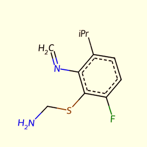 C=Nc1c(C(C)C)ccc(F)c1SCN